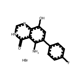 Br.Nc1c(-c2ccc(F)cc2)cc(O)c2nc[nH]c(=O)c12